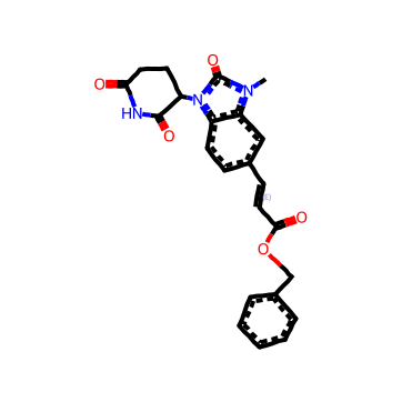 Cn1c(=O)n(C2CCC(=O)NC2=O)c2ccc(/C=C/C(=O)OCc3ccccc3)cc21